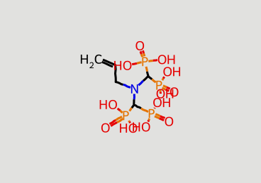 C=CCN(C(P(=O)(O)O)P(=O)(O)O)C(P(=O)(O)O)P(=O)(O)O